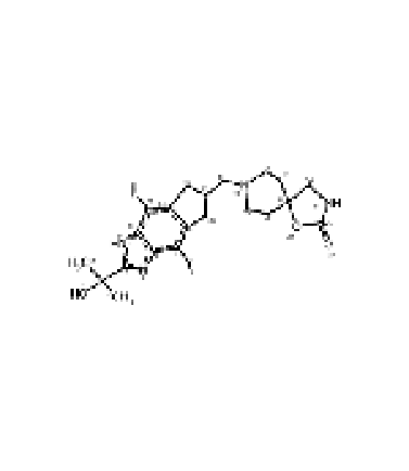 CC(C)(O)c1nc2c(F)c3c(c(F)c2[nH]1)CC(CN1CCC2(CC1)CNC(=O)O2)C3